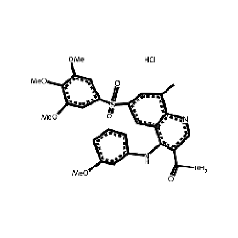 COc1cccc(Nc2c(C(N)=O)cnc3c(C)cc(S(=O)(=O)c4cc(OC)c(OC)c(OC)c4)cc23)c1.Cl